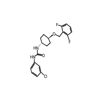 O=C(Nc1cccc(Cl)c1)N[C@H]1CC[C@H](OCc2c(F)cccc2F)CC1